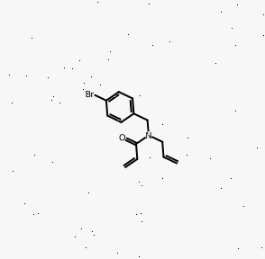 C=CCN(Cc1ccc(Br)cc1)C(=O)C=C